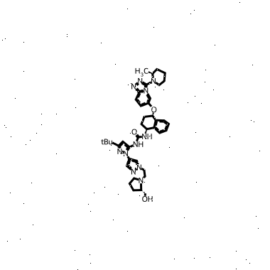 C[C@H]1CCCCN1c1nnc2ccc(O[C@@H]3CC[C@H](NC(=O)Nc4cc(C(C)(C)C)nn4-c4cnn(CCN5CCC[C@H]5CO)c4)c4ccccc43)cn12